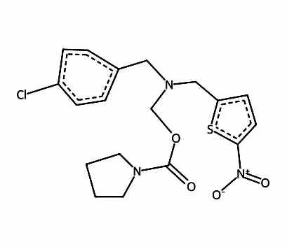 O=C(OCN(Cc1ccc(Cl)cc1)Cc1ccc([N+](=O)[O-])s1)N1CCCC1